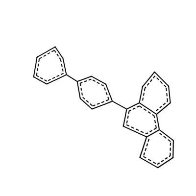 c1ccc(-c2ccc(-c3cc4ccccc4c4ccccc34)cc2)cc1